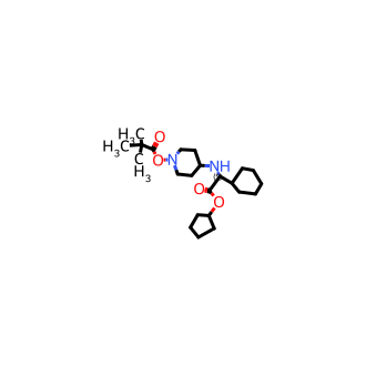 CC(C)(C)C(=O)ON1CCC(N[C@H](C(=O)OC2CCCC2)C2CCCCC2)CC1